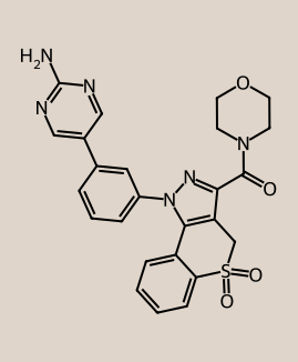 Nc1ncc(-c2cccc(-n3nc(C(=O)N4CCOCC4)c4c3-c3ccccc3S(=O)(=O)C4)c2)cn1